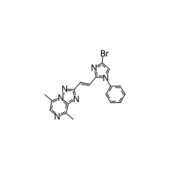 Cc1ncc(C)n2nc(C=Cc3nc(Br)cn3-c3ccccc3)nc12